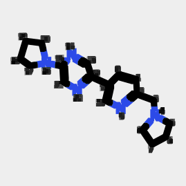 c1cc(CN2CCCC2)ncc1-c1cnc(N2CCCC2)cn1